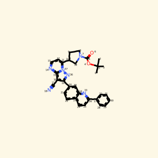 CC(C)(C)OC(=O)N1CCC(c2ccnc3c(C#N)c(-c4ccc5ccc(-c6ccccc6)nc5c4)nn23)C1